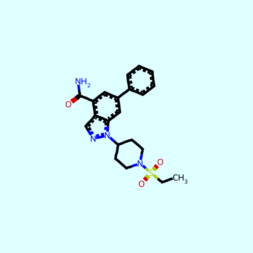 CCS(=O)(=O)N1CCC(n2ncc3c(C(N)=O)cc(-c4ccccc4)cc32)CC1